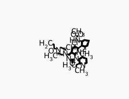 C=CC(=O)N1C[C@H](C)N(c2nc(=O)n(-c3c(C)ccnc3C(C)C)c3nc(-c4c(F)cccc4NC(=O)OC)c(Cl)cc23)C[C@H]1C